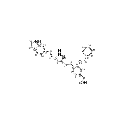 OCc1ccc(/C=C/c2cc(/C=C/c3ccc4cc[nH]c4c3)[nH]n2)c(OCc2ccccn2)c1